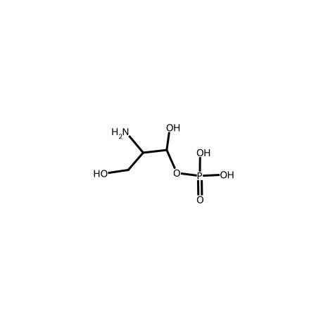 NC(CO)C(O)OP(=O)(O)O